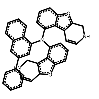 C1=Cc2c(oc3cccc(N(c4cc(-c5ccccc5)cc5ccccc45)c4cccc5oc6c(c45)CNC=C6)c23)CN1